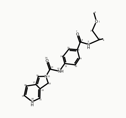 COCC(C)NC(=O)c1ccc(NC(=O)N2C=C3C=CNC=C3C2)cc1